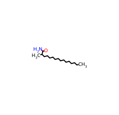 CCCCCCCCCCCCCCC(C)C(N)=O